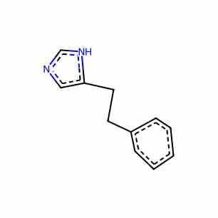 c1ccc(CCc2cnc[nH]2)cc1